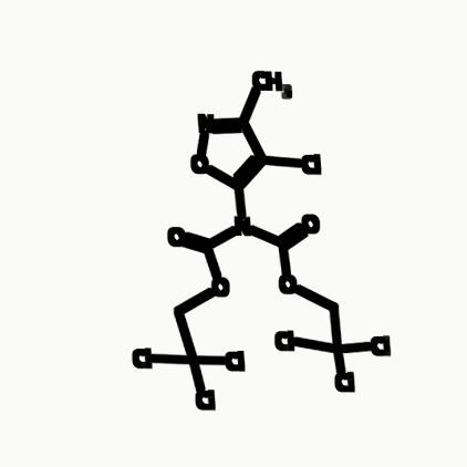 Cc1noc(N(C(=O)OCC(Cl)(Cl)Cl)C(=O)OCC(Cl)(Cl)Cl)c1Cl